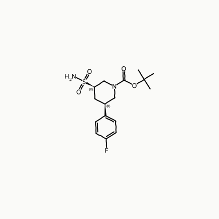 CC(C)(C)OC(=O)N1C[C@@H](c2ccc(F)cc2)C[C@@H](S(N)(=O)=O)C1